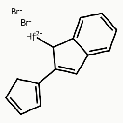 [Br-].[Br-].[Hf+2][CH]1C(C2=CC=CC2)=Cc2ccccc21